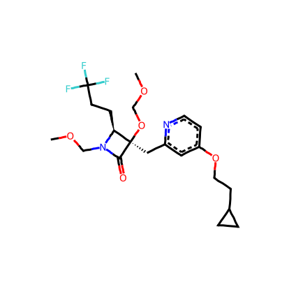 COCO[C@@]1(Cc2cc(OCCC3CC3)ccn2)C(=O)N(COC)[C@H]1CCC(F)(F)F